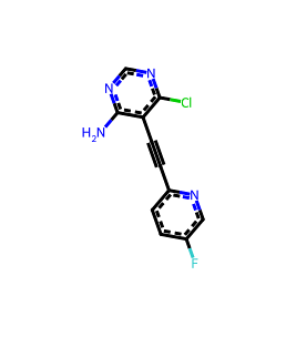 Nc1ncnc(Cl)c1C#Cc1ccc(F)cn1